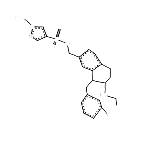 CCNC1CCc2ccc(CNS(=O)(=O)c3cnn(C)c3)cc2C1Cc1cccc(F)c1